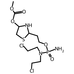 COC(=O)OC1CSC(CCOP(N)(=O)N(CCCl)CCCl)N1